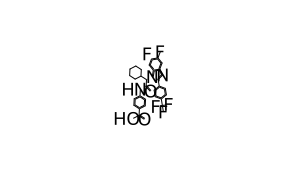 O=C(O)c1ccc(NC(=O)C(C2CCCCC2)n2c(-c3ccc(C(F)(F)F)cc3)nc3cc(F)c(F)cc32)cc1